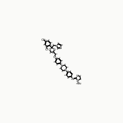 CCC(C)N1CCS/C1=N\c1ccc(N2CCN(c3ccc(OCC4COC(Cn5ccnc5)(c5ccc(Cl)cc5Cl)O4)cc3)CC2)cc1